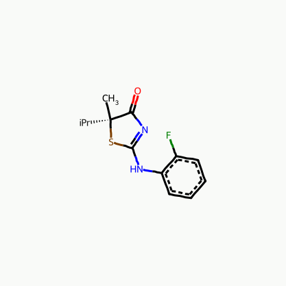 CC(C)[C@@]1(C)SC(Nc2ccccc2F)=NC1=O